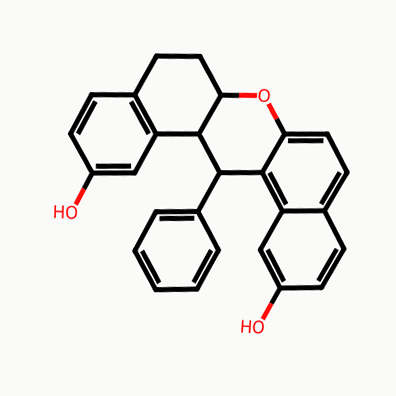 Oc1ccc2c(c1)C1C(CC2)Oc2ccc3ccc(O)cc3c2C1c1ccccc1